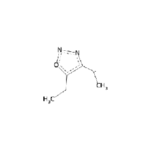 C[CH]c1nnoc1CC